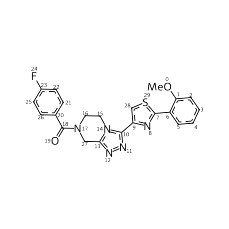 COc1ccccc1-c1nc(-c2nnc3n2CCN(C(=O)c2ccc(F)cc2)C3)cs1